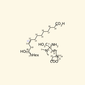 CCCC(N)(C(=O)O)N(C)C.CCCCCC[C@@H](O)C/C=C\CCCCCCCC(=O)O.C[N+](C)(C)CC(=O)[O-]